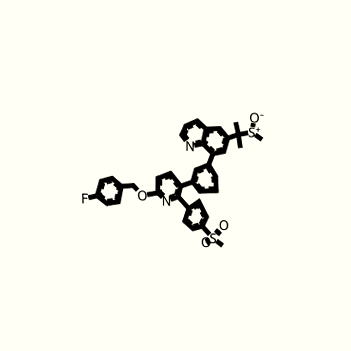 C[S+]([O-])C(C)(C)c1cc(-c2cccc(-c3ccc(OCc4ccc(F)cc4)nc3-c3ccc(S(C)(=O)=O)cc3)c2)c2ncccc2c1